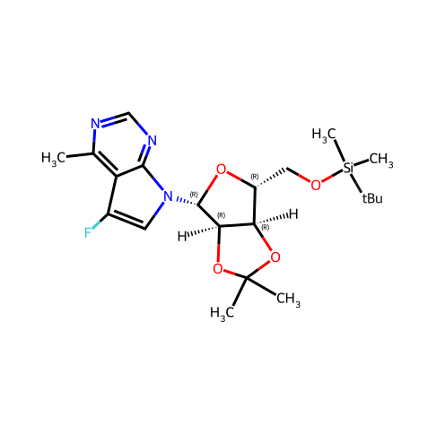 Cc1ncnc2c1c(F)cn2[C@@H]1O[C@H](CO[Si](C)(C)C(C)(C)C)[C@H]2OC(C)(C)O[C@H]21